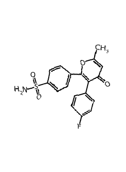 Cc1cc(=O)c(-c2ccc(F)cc2)c(-c2ccc(S(N)(=O)=O)cc2)o1